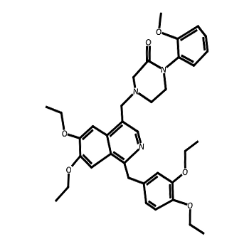 CCOc1ccc(Cc2ncc(CN3CCN(c4ccccc4OC)C(=O)C3)c3cc(OCC)c(OCC)cc23)cc1OCC